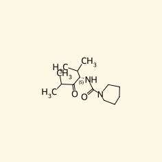 CC(C)C(=O)[C@@H](NC(=O)N1CCCCC1)C(C)C